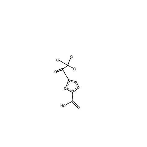 O=C(O)c1ccc(C(=O)C(Cl)(Cl)Cl)o1